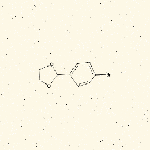 Brc1ccc([C]2OCCO2)cc1